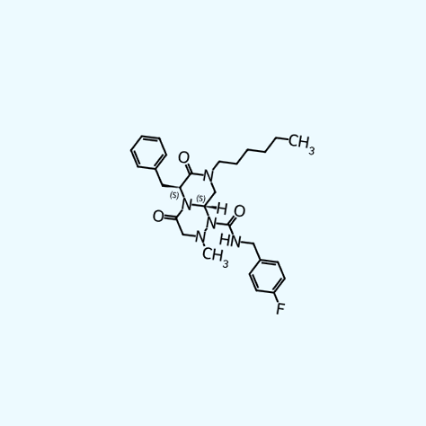 CCCCCCN1C[C@H]2N(C(=O)CN(C)N2C(=O)NCc2ccc(F)cc2)[C@@H](Cc2ccccc2)C1=O